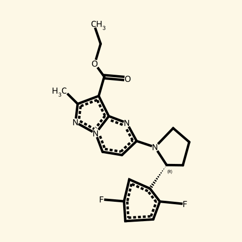 CCOC(=O)c1c(C)nn2ccc(N3CCC[C@@H]3c3cc(F)ccc3F)nc12